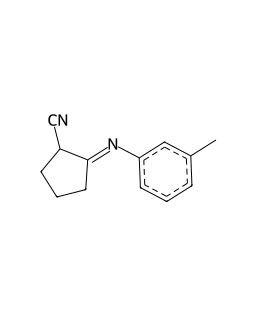 Cc1cccc(/N=C2\CCCC2C#N)c1